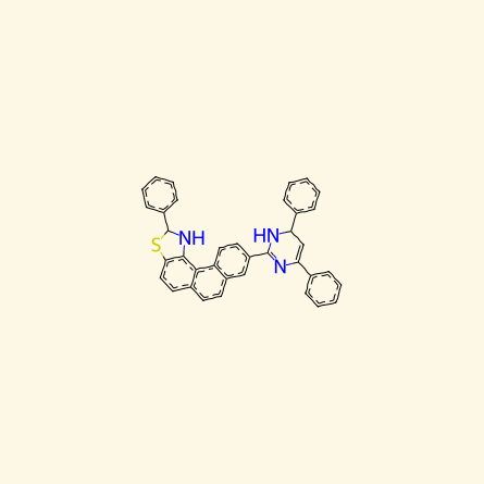 C1=C(c2ccccc2)N=C(c2ccc3c(ccc4ccc5c(c43)NC(c3ccccc3)S5)c2)NC1c1ccccc1